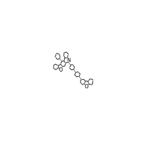 c1ccc(-c2c3c(cc4c(-c5ccc(-c6ccc(-c7ccc8oc9ccccc9c8c7)cc6)cc5)nc5ccccc5c24)oc2ccccc23)cc1